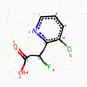 O=C(O)C(F)c1ncccc1Cl